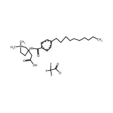 CCCCCCCCCCc1ccc(C(=O)NC2(CC(=O)O)CC[N+](C)(C)C2)cc1.O=C([O-])C(F)(F)F